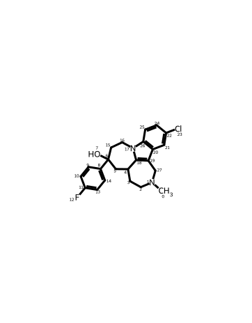 CN1CCC2CC(O)(c3ccc(F)cc3)CCn3c2c(c2cc(Cl)ccc23)C1